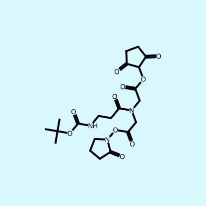 CC(C)(C)OC(=O)NCCC(=O)N(CC(=O)OC1C(=O)CCC1=O)CC(=O)ON1CCCC1=O